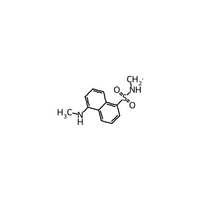 [CH2]NS(=O)(=O)c1cccc2c(NC)cccc12